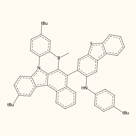 CB1c2cc(C(C)(C)C)ccc2-n2c3ccc(C(C)(C)C)cc3c3c4ccccc4c(-c4cc5sc6ccccc6c5cc4Nc4ccc(C(C)(C)C)cc4)c1c32